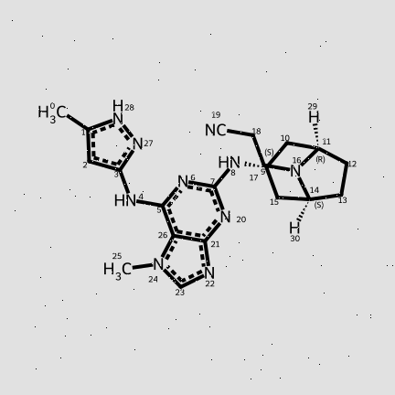 Cc1cc(Nc2nc(N[C@@H]3C[C@H]4CC[C@@H](C3)N4CCC#N)nc3ncn(C)c23)n[nH]1